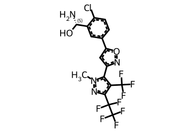 Cn1nc(C(F)(F)C(F)(F)F)c(C(F)(F)F)c1-c1cc(-c2ccc(Cl)c([C@@H](N)O)c2)on1